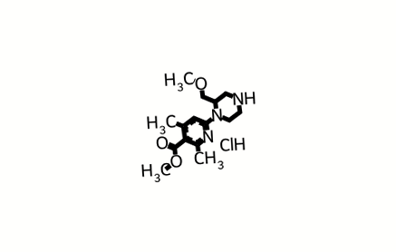 COCC1CNCCN1c1cc(C)c(C(=O)OC)c(C)n1.Cl